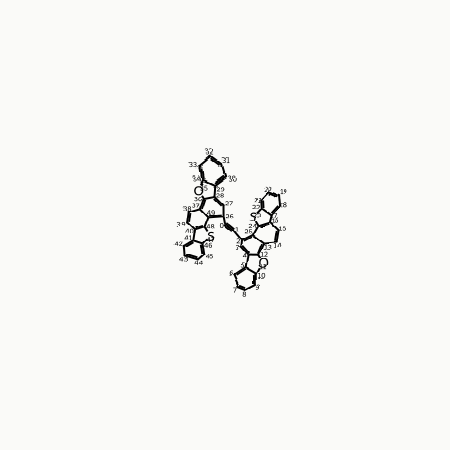 C(#Cc1cc2c3ccccc3oc2c2ccc3c4ccccc4sc3c12)c1cc2c3ccccc3oc2c2ccc3c4ccccc4sc3c12